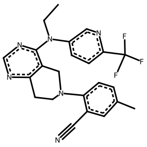 CCN(c1ccc(C(F)(F)F)nc1)c1ncnc2c1CN(c1ccc(C)cc1C#N)CC2